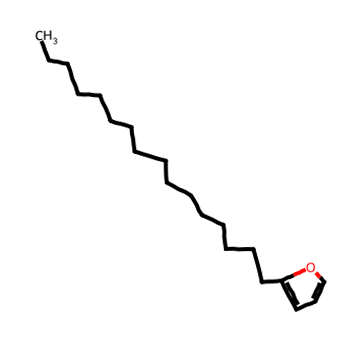 CCCCCCCCCCCCCCCCc1ccco1